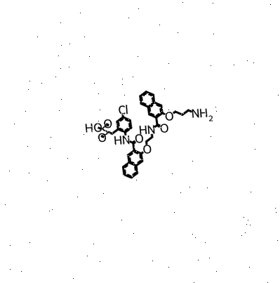 NCCCOc1cc2ccccc2cc1C(=O)NCCOc1cc2ccccc2cc1C(=O)Nc1ccc(Cl)cc1CS(=O)(=O)O